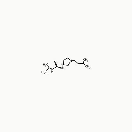 CC(C)CCN1CC[C@@H](NC(=S)NC(C)C)C1